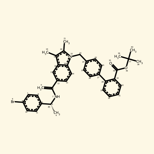 C=C(N[C@H](C)c1ccc(Br)cc1)c1ccc2c(c1)c(C)c(C)n2Cc1ccc(-c2ccccc2C(=O)OC(C)(C)C)cc1